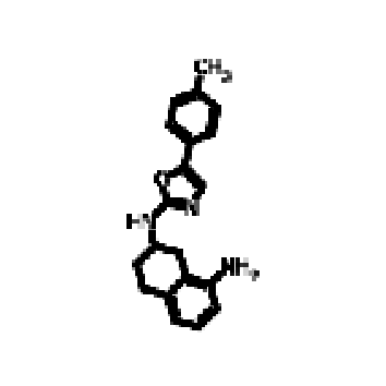 Cc1ccc(-c2cnc(NC3CCc4cccc(N)c4C3)o2)cc1